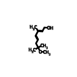 COC(C)(C)CC=CC(C)=CCO